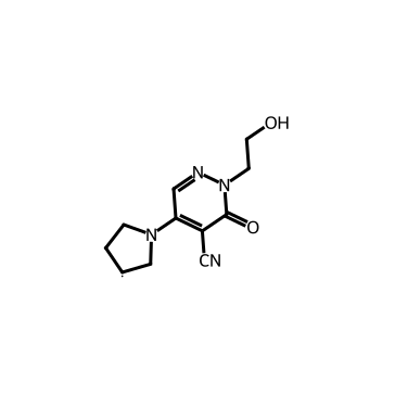 N#Cc1c(N2C[CH]CC2)cnn(CCO)c1=O